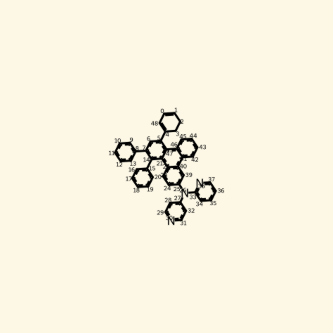 C1=CCCC(c2cc(-c3ccccc3)c(-c3ccccc3)c3c4ccc(N(c5ccncc5)c5ccccn5)cc4c4ccccc4c23)=C1